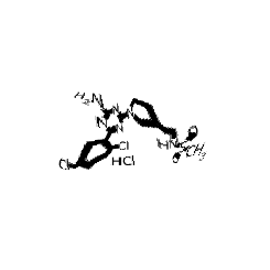 CS(=O)(=O)NCC1CCN(c2nc(N)nc(-c3cc(Cl)ccc3Cl)n2)C1.Cl